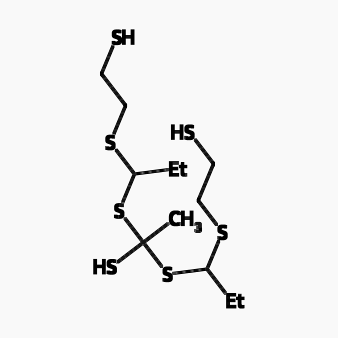 CCC(SCCS)SC(C)(S)SC(CC)SCCS